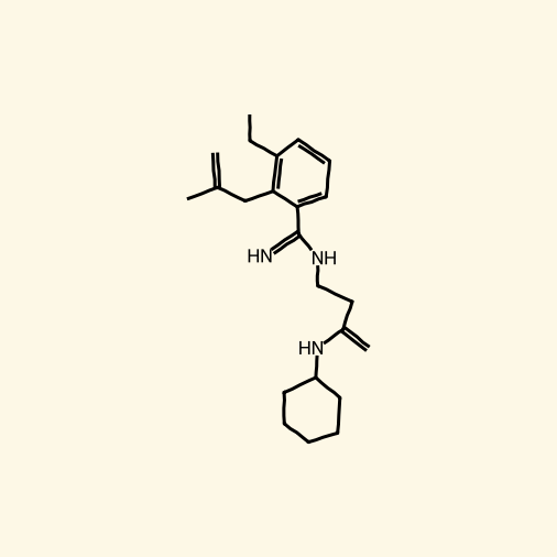 C=C(C)Cc1c(CC)cccc1C(=N)NCCC(=C)NC1CCCCC1